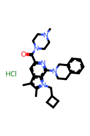 Cc1c(C)n(CC2CCC2)c2c(N3CCc4ccccc4C3)nc(C(=O)N3CCN(C)CC3)cc12.Cl